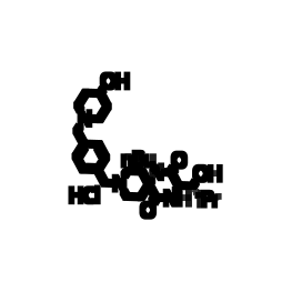 CCCCN1C(=O)[C@@H]([C@H](O)C(C)C)NC(=O)C12CCN(Cc1ccc(CN3CCC(O)CC3)cc1)CC2.Cl